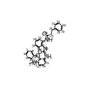 CC(C)(C)c1ccccc1Oc1ncccc1Nc1nc2c(NC(=O)CCc3ccccc3)cccc2o1